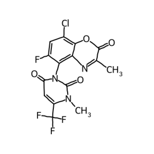 Cc1nc2c(-n3c(=O)cc(C(F)(F)F)n(C)c3=O)c(F)cc(Cl)c2oc1=O